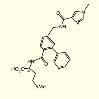 CSCC[C@H](NC(=O)c1ccc(CNC(=O)c2cn(C)cn2)cc1-c1ccccc1)C(=O)O